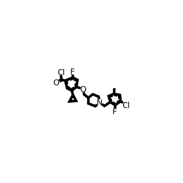 Cc1cc(Cl)c(F)c(CN2CCC(COc3cc(F)c(C(=O)Cl)cc3C3CC3)CC2)c1